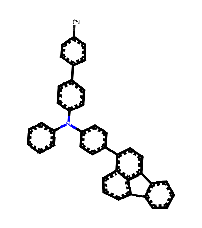 N#Cc1ccc(-c2ccc(N(c3ccccc3)c3ccc(-c4ccc5c6c(cccc46)-c4ccccc4-5)cc3)cc2)cc1